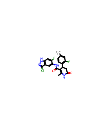 CC1=C(C(=O)Nc2cc3c(Cl)n[nH]c3cc2F)C(c2ccc(C(F)(F)F)cc2F)CC(=O)N1